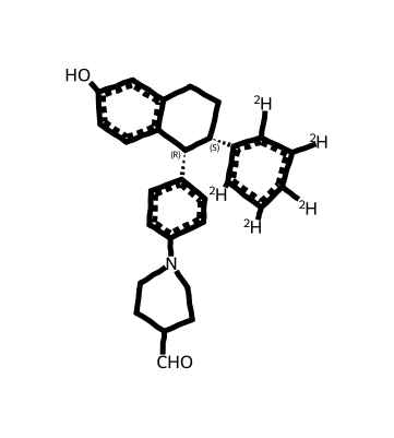 [2H]c1c([2H])c([2H])c([C@H]2CCc3cc(O)ccc3[C@H]2c2ccc(N3CCC(C=O)CC3)cc2)c([2H])c1[2H]